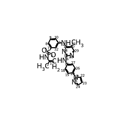 C=C(C)NS(=O)(=O)c1cccc(Nc2nc(Nc3ccc(-n4cccn4)cc3)ncc2C)c1